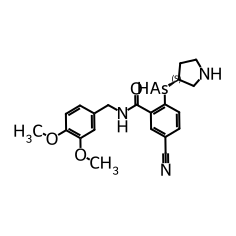 COc1ccc(CNC(=O)c2cc(C#N)ccc2[AsH][C@H]2CCNC2)cc1OC